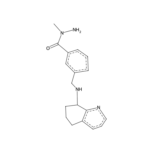 CN(N)C(=O)c1cccc(CNC2CCCc3cccnc32)c1